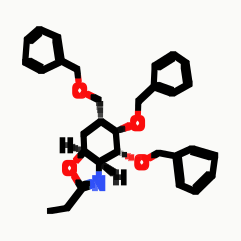 CCC1=N[C@H]2[C@@H](OCc3ccccc3)[C@H](OCc3ccccc3)[C@@H](COCc3ccccc3)C[C@@H]2O1